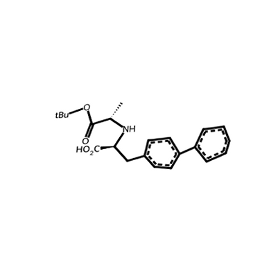 C[C@H](N[C@@H](Cc1ccc(-c2ccccc2)cc1)C(=O)O)C(=O)OC(C)(C)C